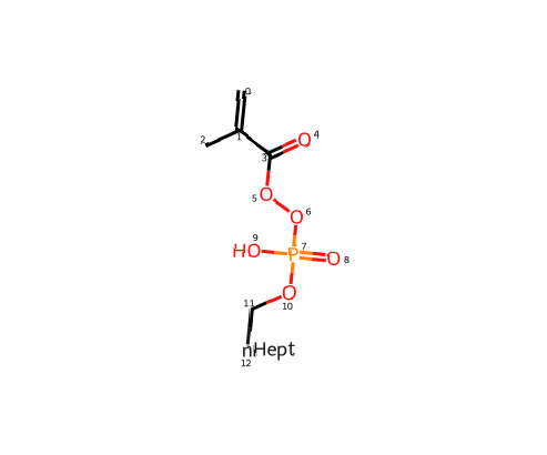 C=C(C)C(=O)OOP(=O)(O)OCCCCCCCC